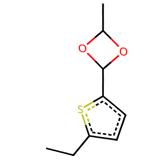 CCc1ccc(C2OC(C)O2)s1